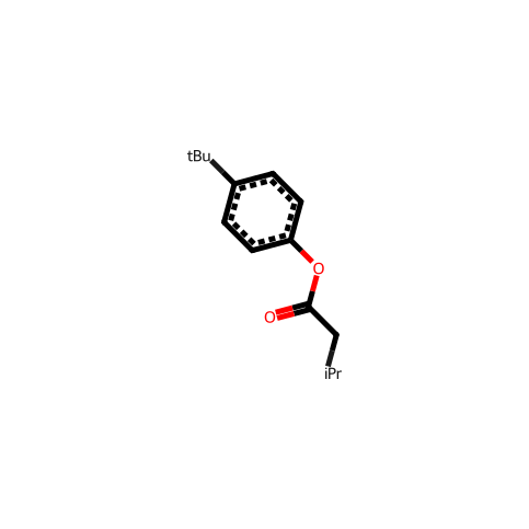 CC(C)CC(=O)Oc1ccc(C(C)(C)C)cc1